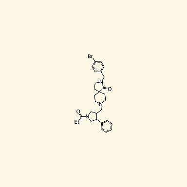 CCC(=O)N1CC(CN2CCC3(CC2)CCN(Cc2ccc(Br)cc2)C3=O)C(c2ccccc2)C1